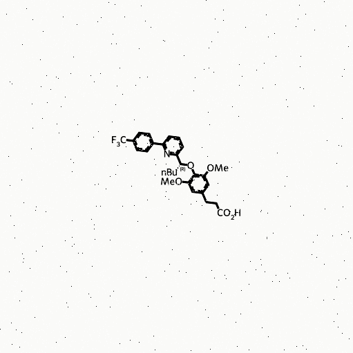 CCCC[C@@H](Oc1c(OC)cc(CCC(=O)O)cc1OC)c1cccc(-c2ccc(C(F)(F)F)cc2)n1